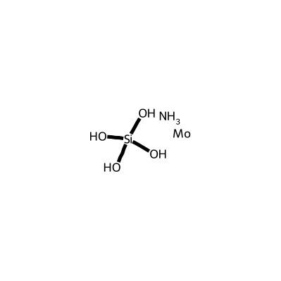 N.O[Si](O)(O)O.[Mo]